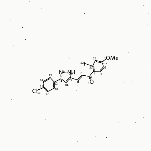 COc1ccc(C(=O)/C=C/c2cc(-c3ccc(Cl)cc3)n[nH]2)c(F)c1